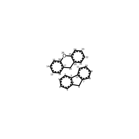 c1ccc2c(c1)Cc1ccccc1-2.c1ccc2c(c1)Cc1ccccc1O2